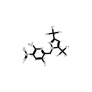 Cc1nc(Cn2nc(C(F)(F)F)cc2C(F)(F)F)c(F)cc1[N+](=O)[O-]